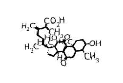 C=C(CC[C@@H](C)[C@H]1CC[C@H]2C3=C(C(=O)[C@H](O)[C@]12C)[C@@]1(C)CC[C@@H](O)[C@@H](C)C1CC3=O)C(C)C(=O)O